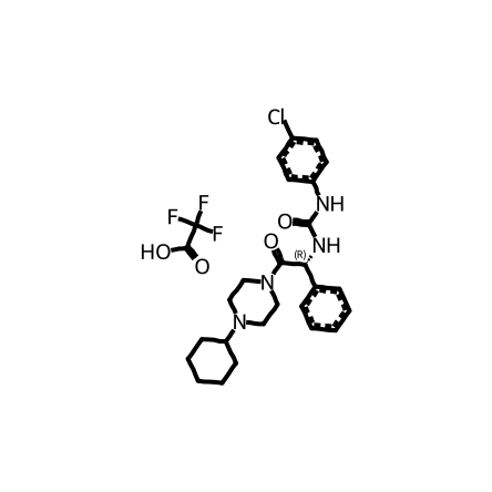 O=C(Nc1ccc(Cl)cc1)N[C@@H](C(=O)N1CCN(C2CCCCC2)CC1)c1ccccc1.O=C(O)C(F)(F)F